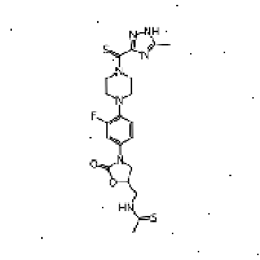 CC(=S)NCC1CN(c2ccc(N3CCN(C(=S)c4n[nH]c(C)n4)CC3)c(F)c2)C(=O)O1